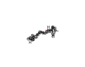 Cc1sc2c(c1C)C(c1ccc(Cl)cc1)=N[C@@H](CC(=O)Nc1ccc(OC3CN([C@H]4CCCN(C5CN(c6ccc7c(c6)C(=O)N(C6CCC(=O)NC6=O)C7=O)C5)C4)C3)cc1)c1nnc(C)n1-2